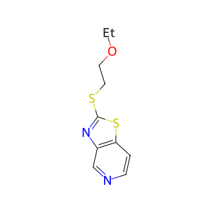 CCOCCSc1nc2cnccc2s1